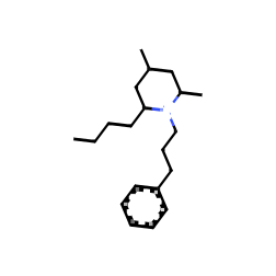 CCCCC1CC(C)CC(C)N1CCCc1ccccc1